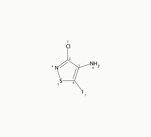 Nc1c(Cl)nsc1I